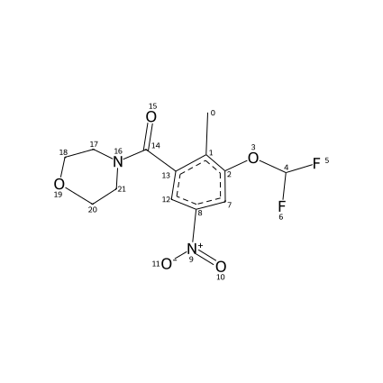 Cc1c(OC(F)F)cc([N+](=O)[O-])cc1C(=O)N1CCOCC1